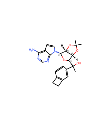 CC1(C)O[C@@H]2[C@H](O1)[C@@H](C(C)(O)c1ccc3c(c1)CC3)O[C@H]2n1ccc2c(N)ncnc21